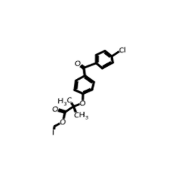 CC(C)(Oc1ccc(C(=O)c2ccc(Cl)cc2)cc1)C(=O)OCI